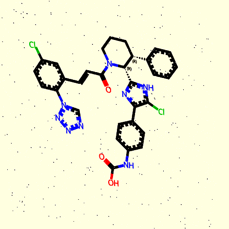 O=C(O)Nc1ccc(-c2nc([C@H]3[C@@H](c4ccccc4)CCCN3C(=O)C=Cc3cc(Cl)ccc3-n3cnnn3)[nH]c2Cl)cc1